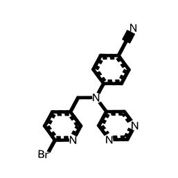 N#Cc1ccc(N(Cc2ccc(Br)nc2)c2cncnc2)cc1